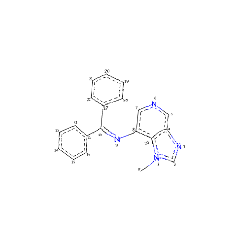 Cn1cnc2cncc(N=C(c3ccccc3)c3ccccc3)c21